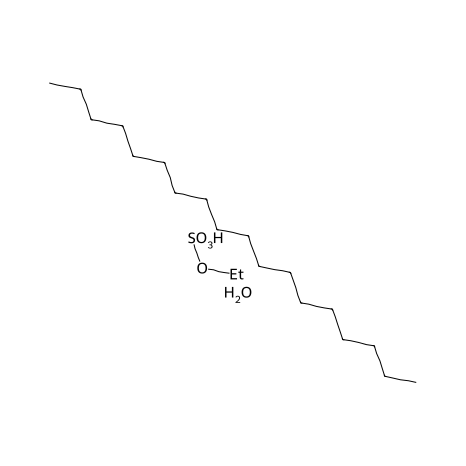 CCCCCCCCCCCCCCCCCC.CCOS(=O)(=O)O.O